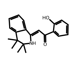 CC1(C)NC(=CC(=O)c2ccccc2O)c2ccccc2C1(C)C